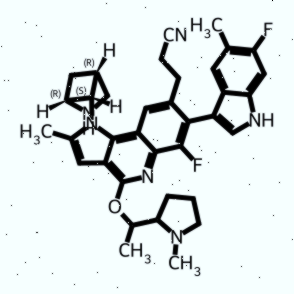 Cc1cc2c(-c3c(CCC#N)cc4c(nc(OC(C)C5CCCN5C)c5cc(C)n([C@H]6[C@H]7CN[C@@H]6C7)c54)c3F)c[nH]c2cc1F